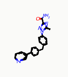 Cc1nc(C(N)=O)nn1-c1ccc(Cc2ccc(-c3cccnc3)cc2)cc1